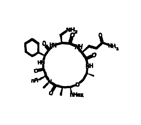 CCCCCC[C@H]1OC[C@@H](C)NC(=O)[C@H](CCC(N)=O)NC(=O)[C@H](CN)NC(=O)[C@H](C2CCCCC2)NC(=O)[C@H](CCC)N(C)C(=O)[C@@H]1C